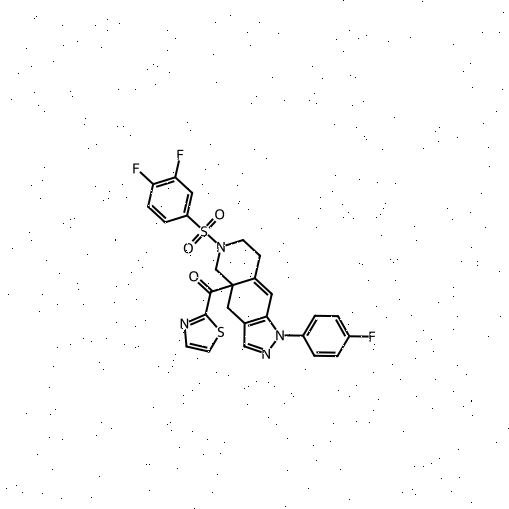 O=C(c1nccs1)C12Cc3cnn(-c4ccc(F)cc4)c3C=C1CCN(S(=O)(=O)c1ccc(F)c(F)c1)C2